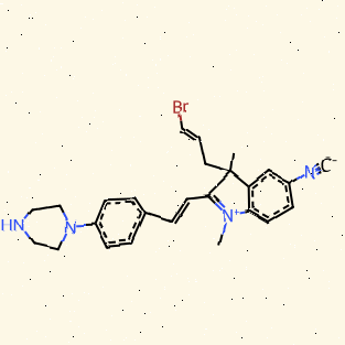 [C-]#[N+]c1ccc2c(c1)C(C)(C/C=C/Br)C(/C=C/c1ccc(N3CCNCC3)cc1)=[N+]2C